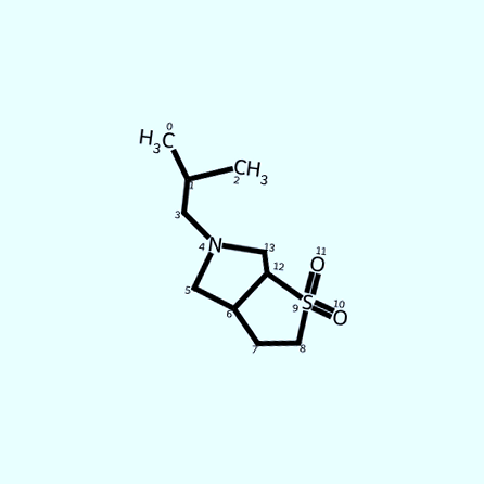 CC(C)CN1CC2CCS(=O)(=O)C2C1